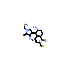 C=C1C(=N/C)/C(=C2\C(/C=C\CCF)=C(C(CC)CC)CC[C@@H]2N)CN1CC(C)=O